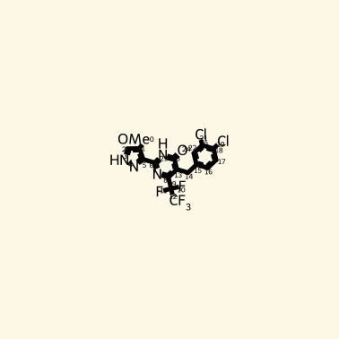 COc1c[nH]nc1-c1nc(C(F)(F)C(F)(F)F)c(Cc2ccc(Cl)c(Cl)c2)c(=O)[nH]1